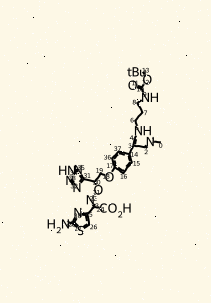 C/N=C/C(=C\NCCCNC(=O)OC(C)(C)C)c1ccc(OCC(O/N=C(\C(=O)O)c2csc(N)n2)c2nn[nH]n2)cc1